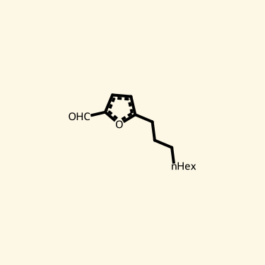 CCCCCCCCCc1ccc(C=O)o1